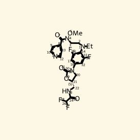 CCN(CCN(OC)C(=O)c1ccncc1)c1c(F)cc(N2C[C@H](CNC(=O)C(F)F)OC2=O)cc1F